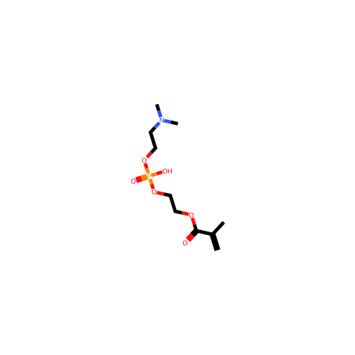 C=C(C)C(=O)OCCOP(=O)(O)OCCN(C)C